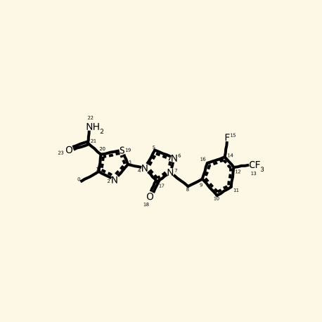 Cc1nc(-n2cnn(Cc3ccc(C(F)(F)F)c(F)c3)c2=O)sc1C(N)=O